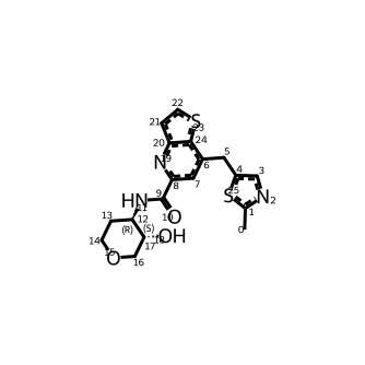 Cc1ncc(Cc2cc(C(=O)N[C@@H]3CCOC[C@H]3O)nc3ccsc23)s1